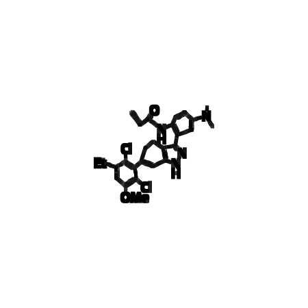 C=CC(=O)Nc1ccc(N(C)C)cc1-c1n[nH]c2c1CCC(c1c(Cl)c(CC)cc(OC)c1Cl)=C2